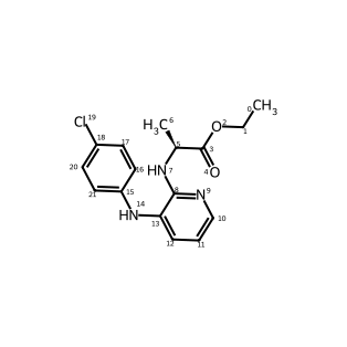 CCOC(=O)[C@H](C)Nc1ncccc1Nc1ccc(Cl)cc1